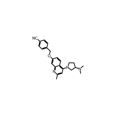 Cc1cc(N2CCC(N(C)C)C2)c2ccc(OCc3ccc(C#N)cc3)cc2n1